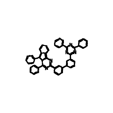 c1ccc(C2=NC(c3cccc(-c4cccc(-c5nc(-c6ccccc6)nc(-c6ccccc6)n5)c4)c3)=NC3=c4ccccc4=C(c4ccccc4)C23)cc1